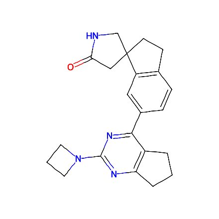 O=C1CC2(CCc3ccc(-c4nc(N5CCC5)nc5c4CCC5)cc32)CN1